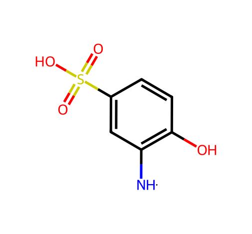 [NH]c1cc(S(=O)(=O)O)ccc1O